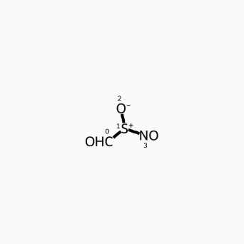 O=C[S+]([O-])N=O